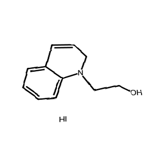 I.OCCN1CC=Cc2ccccc21